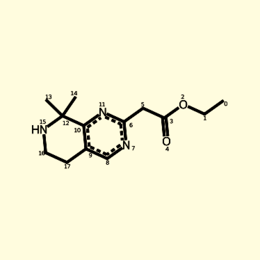 CCOC(=O)Cc1ncc2c(n1)C(C)(C)NCC2